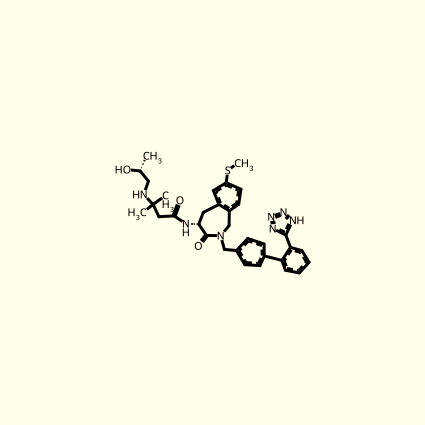 CSc1ccc2c(c1)C[C@@H](NC(=O)CC(C)(C)NC[C@@H](C)O)C(=O)N(Cc1ccc(-c3ccccc3-c3nnn[nH]3)cc1)C2